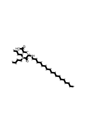 CCCCCCCCCCCCCCCCCCN[C@@H](CCC(=O)O)C(=O)N(CCCC)CCCC